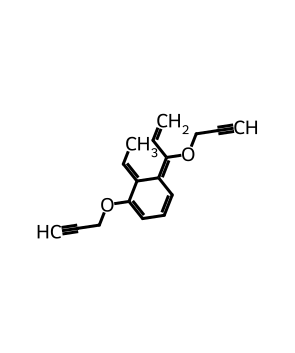 C#CCO/C(C=C)=c1\cccc(OCC#C)\c1=C\C